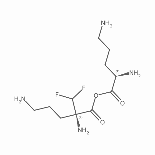 NCCC[C@@H](N)C(=O)OC(=O)[C@](N)(CCCN)C(F)F